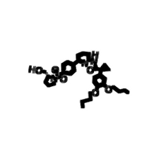 CCCCOc1ccc(C2(C(=O)Nc3cccc(-c4ccc(S(=O)(=O)N5CCC[C@@H]5CO)cc4)n3)CC2)cc1OCCCC